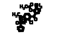 COc1ccc(C(=O)c2cnn(C)c2OC(C)=O)c(Cl)c1N=S(C)(=O)c1cccs1